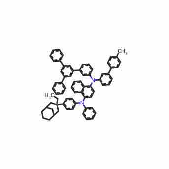 CCC1(c2ccc(N(c3ccccc3)c3ccc(N(c4cccc(-c5ccc(C)cc5)c4)c4cccc(-c5cc(-c6ccccc6)cc(-c6ccccc6)c5)c4)c4ccccc34)cc2)CC2CCCC(C2)C1